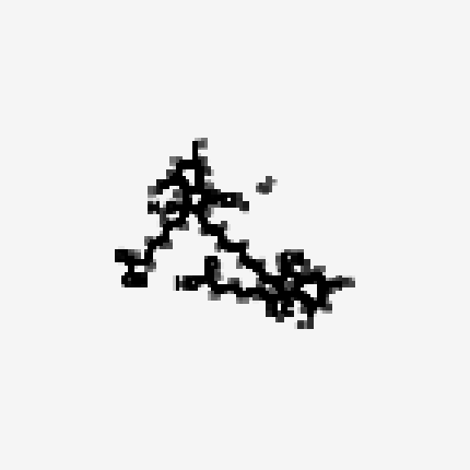 CN1C(=CC=CC=CC=CC2=[N+](C)c3cc(I)cc(I)c3C2(C)CCCCCC(=O)O)C(C)(CCCCCC(=O)O)c2c(I)cc(I)cc21.[I-]